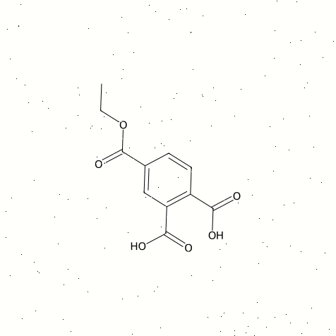 CCOC(=O)c1ccc(C(=O)O)c(C(=O)O)c1